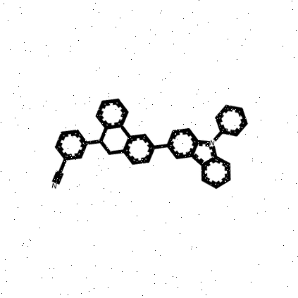 N#Cc1cccc(C2Cc3ccc(-c4ccc5c(c4)c4ccccc4n5-c4ccccc4)cc3-c3ccccc32)c1